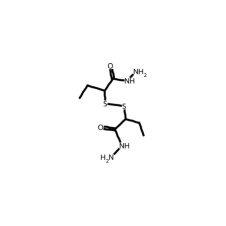 CCC(SSC(CC)C(=O)NN)C(=O)NN